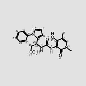 Cc1cn(C)c(=O)c(NC(=O)N[C@@H](CC(=O)O)c2cccn2-c2ccccc2)c1O